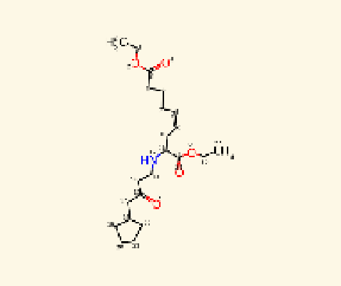 CCOC(=O)CCC/C=C\CC(NCCC(=O)CC1CCCC1)C(=O)OCC